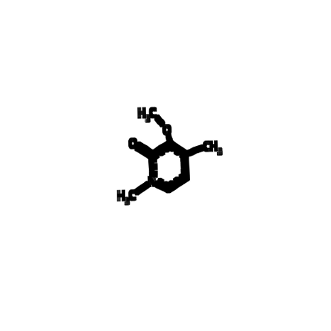 COc1c(C)ccn(C)c1=O